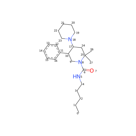 CCCCCNC(=O)N1CC(c2ccccc2)C(N2CCCCC2)CC1(C)C